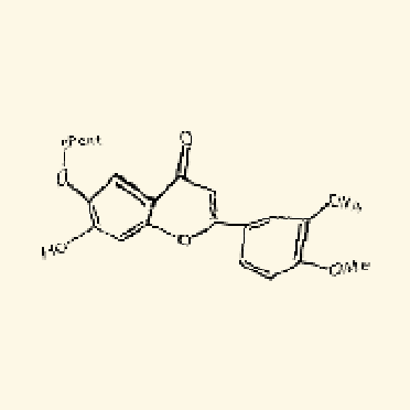 CCCCCOc1cc2c(=O)cc(-c3ccc(OC)c(OC)c3)oc2cc1O